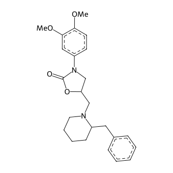 COc1ccc(N2CC(CN3CCCCC3Cc3ccccc3)OC2=O)cc1OC